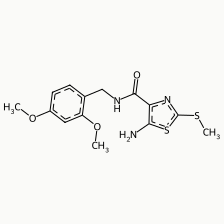 COc1ccc(CNC(=O)c2nc(SC)sc2N)c(OC)c1